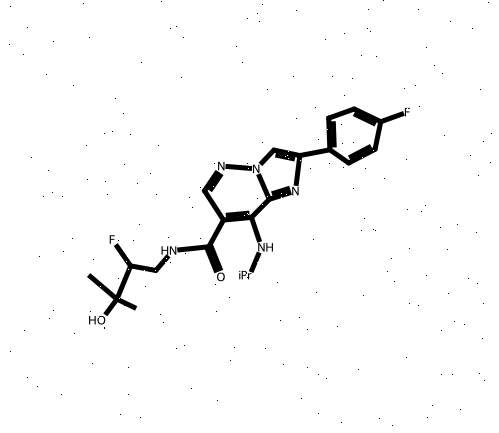 CC(C)Nc1c(C(=O)NCC(F)C(C)(C)O)cnn2cc(-c3ccc(F)cc3)nc12